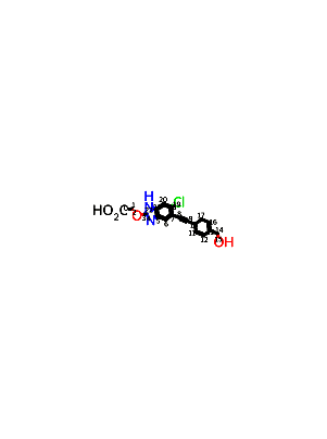 O=C(O)COc1nc2cc(C#CC3C=CC(CO)=CC3)c(Cl)cc2[nH]1